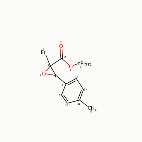 CCCCCOC(=O)C1(CC)OC1c1ccc(C)cc1